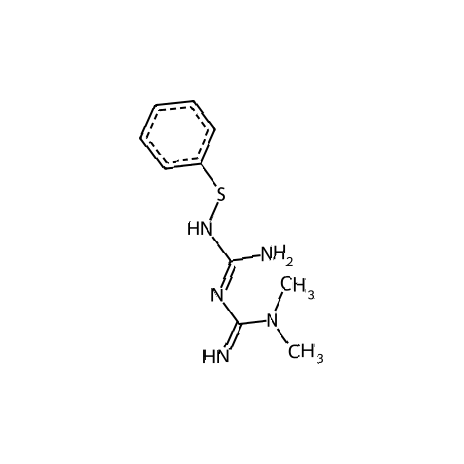 CN(C)C(=N)/N=C(\N)NSc1ccccc1